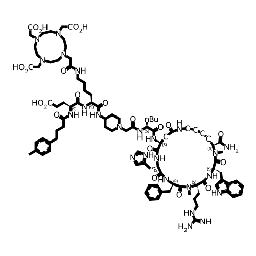 CCCC[C@H](NC(=O)CN1CCC(NC(=O)[C@H](CCCCNC(=O)CN2CCN(CC(=O)O)CCN(CC(=O)O)CCN(CC(=O)O)CC2)NC(=O)[C@H](CCC(=O)O)NC(=O)CCCc2ccc(C)cc2)CC1)C(=O)N[C@H]1CC(=O)NCCCC[C@@H](C(N)=O)N(C)C(=O)[C@H](Cc2c[nH]c3ccccc23)NC(=O)[C@H](CCCNC(=N)N)N(C)C(=O)[C@@H](Cc2ccccc2)NC(=O)[C@H](Cc2cnc[nH]2)NC1=O